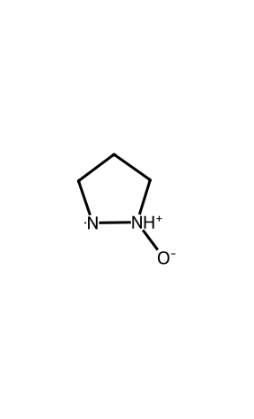 [O-][NH+]1CCC[N]1